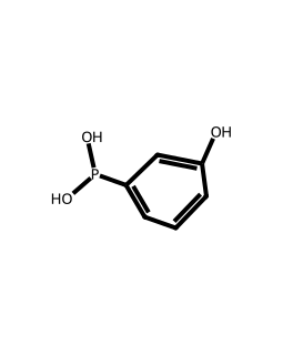 Oc1cccc(P(O)O)c1